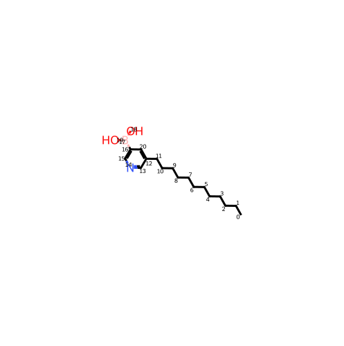 CCCCCCCCCCCCc1cncc(B(O)O)c1